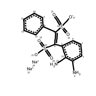 Nc1cccc(C(=C(c2ccccc2)S(=O)(=O)[O-])S(=O)(=O)[O-])c1N.[Na+].[Na+]